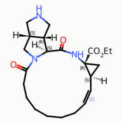 CCOC(=O)[C@@]12C[C@H]1/C=C\CCCCCCC(=O)N1C[C@@H]3CNC[C@@H]3[C@H]1C(=O)N2